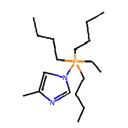 CCCCP(CC)(CCCC)(CCCC)n1cnc(C)c1